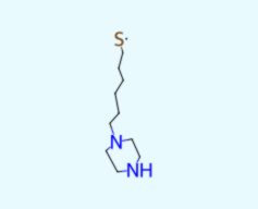 [S]CCCCCCN1CCNCC1